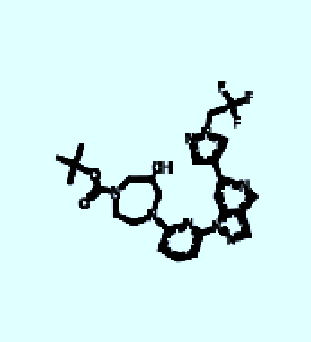 CC(C)(C)OC(=O)N1CCN(c2cccc(-n3ncc4cnc(-c5cnn(CC(F)(F)F)c5)cc43)n2)C[C@@H](O)C1